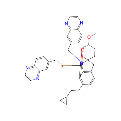 COC1CCC2(CC1)Cc1ccc(CCC3CC3)cc1C21N=C(SCc2ccc3nccnc3c2)N(Cc2ccc3nccnc3c2)C1=O